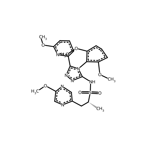 COc1cnc(C[C@@H](C)S(=O)(=O)Nc2nnc(-c3cccc(OC)n3)n2-c2c(OC)cccc2OC)cn1